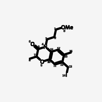 COCCCN1C(=O)C(C)Oc2cc(CI)c(C)cc21